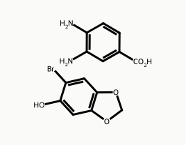 Nc1ccc(C(=O)O)cc1N.Oc1cc2c(cc1Br)OCO2